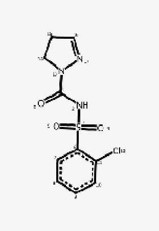 O=C(NS(=O)(=O)c1ccccc1Cl)N1CCC=N1